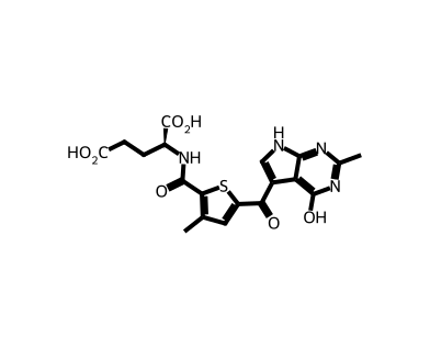 Cc1nc(O)c2c(C(=O)c3cc(C)c(C(=O)N[C@@H](CCC(=O)O)C(=O)O)s3)c[nH]c2n1